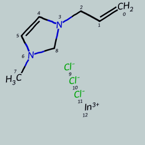 C=CCN1C=CN(C)C1.[Cl-].[Cl-].[Cl-].[In+3]